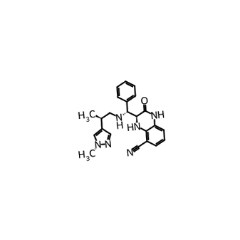 C[C@@H](CN[C@H](c1ccccc1)[C@@H]1Nc2c(C#N)cccc2NC1=O)c1cnn(C)c1